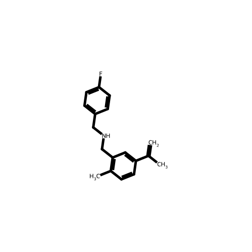 C=C(C)c1ccc(C)c(CNCc2ccc(F)cc2)c1